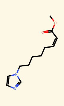 COC(=O)/C=C\CCCCCn1ccnc1